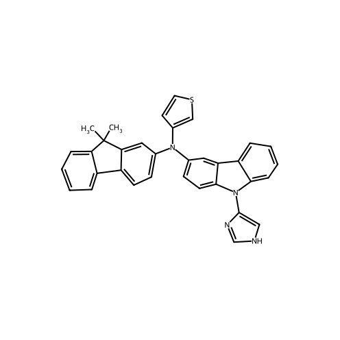 CC1(C)c2ccccc2-c2ccc(N(c3ccsc3)c3ccc4c(c3)c3ccccc3n4-c3c[nH]cn3)cc21